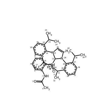 CC(=O)Nc1cccc[c]1[Pd]([Cl])[CH]1N(c2c(C(C)C)cccc2C(C)C)C=CN1c1c(C(C)C)cccc1C(C)C